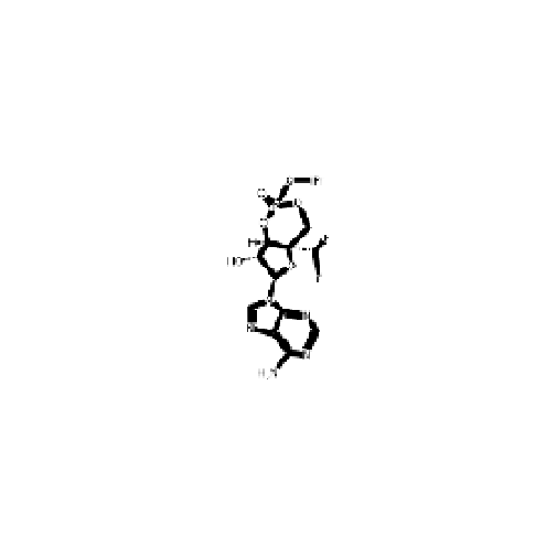 CC(C)OP1(=O)OC[C@@]2(C(F)F)O[C@@H](n3cnc4c(N)ncnc43)[C@H](O)[C@H]2O1